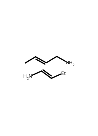 CC=CCN.CCC=CN